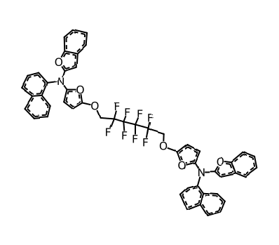 FC(F)(COc1ccc(N(c2cc3ccccc3o2)c2cccc3ccccc23)o1)C(F)(F)C(F)(F)C(F)(F)COc1ccc(N(c2cc3ccccc3o2)c2cccc3ccccc23)o1